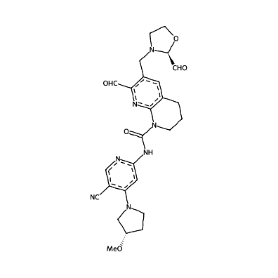 CO[C@H]1CCN(c2cc(NC(=O)N3CCCc4cc(CN5CCO[C@H]5C=O)c(C=O)nc43)ncc2C#N)C1